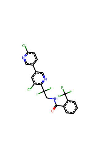 O=C(NCC(F)(F)c1ncc(-c2ccc(Cl)nc2)cc1Cl)c1ccccc1C(F)(F)F